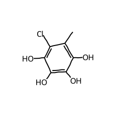 Cc1c(O)c(O)c(O)c(O)c1Cl